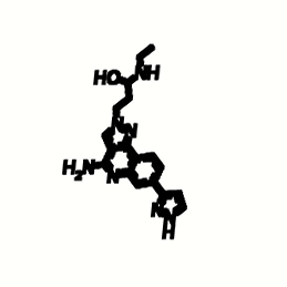 CCNC(O)CCn1cc2c(N)nc3cc(-c4cc[nH]n4)ccc3c2n1